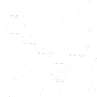 NNC(=O)c1ccccc1NC(=O)C(=O)Nc1ccccc1